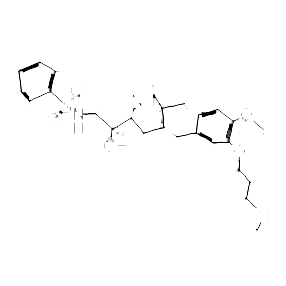 COCCCOc1cc(C[C@@H](C[C@H](N)[C@@H](O)CNS(=O)(=O)c2ccccc2)C(C)C)ccc1OC